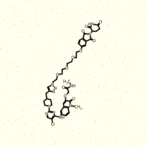 CNC(=O)COc1cc2cc(Nc3nc(N4CCC(Cc5cn(CCOCCOCCOCCOc6ccc7c(c6)C(=O)N(C6CCC(=O)NC6=O)C7=O)nn5)CC4)ncc3Cl)ccc2n(C)c1=O